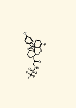 O=C(CNS(=O)(=O)C(F)(F)F)N1CCCC2(S(=O)(=O)c3ccc(Cl)cc3)c3c(F)ccc(F)c3OCC12